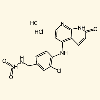 Cl.Cl.O=c1ccc2c(Nc3ccc(CN[SH](=O)=O)cc3Cl)ccnc2[nH]1